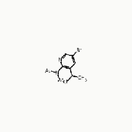 CC(=O)N(C(C)=O)c1ncc(Br)cc1C(C)Cl